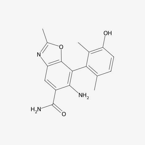 Cc1nc2cc(C(N)=O)c(N)c(-c3c(C)ccc(O)c3C)c2o1